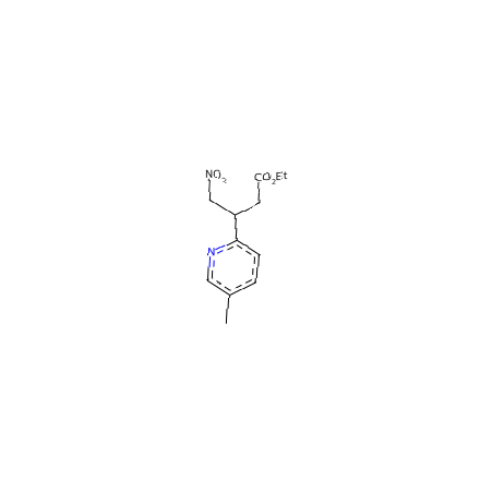 CCOC(=O)CC(C[N+](=O)[O-])c1ccc(C)cn1